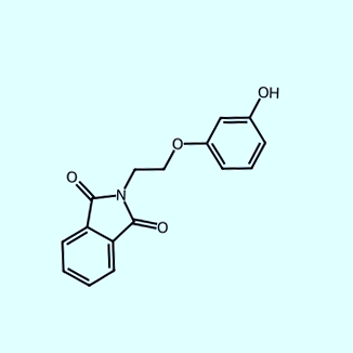 O=C1c2ccccc2C(=O)N1CCOc1cccc(O)c1